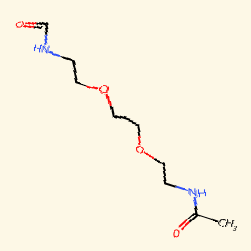 CC(=O)NCCOCCOCCNC=O